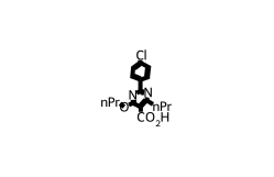 CCCOc1nc(-c2ccc(Cl)cc2)nc(CCC)c1C(=O)O